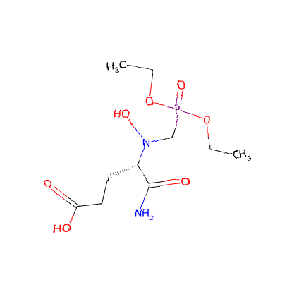 CCOP(=O)(CN(O)[C@@H](CCC(=O)O)C(N)=O)OCC